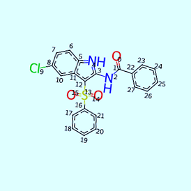 O=C(Nc1[nH]c2ccc(Cl)cc2c1S(=O)(=O)c1ccccc1)c1ccccc1